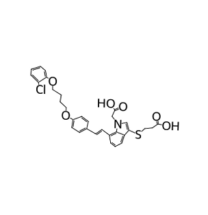 O=C(O)CCSc1cn(CC(=O)O)c2c(C=Cc3ccc(OCCCCOc4ccccc4Cl)cc3)cccc12